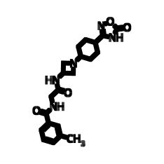 Cc1cccc(C(=O)NCC(=O)NC2CN(C3CCC(c4noc(=O)[nH]4)CC3)C2)c1